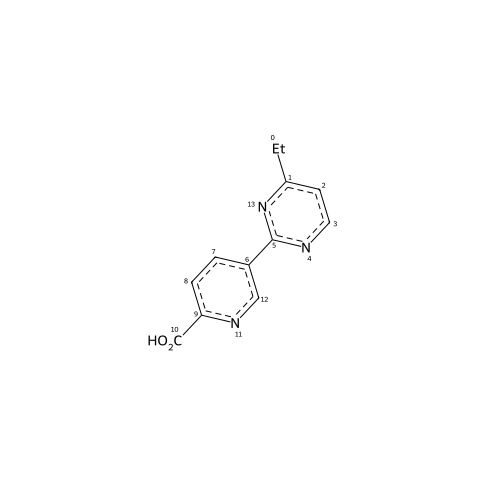 CCc1ccnc(-c2ccc(C(=O)O)nc2)n1